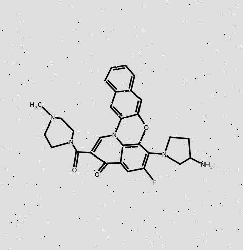 CN1CCN(C(=O)c2cn3c4c(c(N5CCC(N)C5)c(F)cc4c2=O)Oc2cc4ccccc4cc2-3)CC1